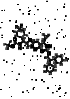 CC(C)(C)OC(=O)N[C@H](c1cn2ncc([C@H](NC(=O)OCC3c4ccccc4-c4ccccc43)C3CC3)cc2n1)C1CCC(F)(F)CC1